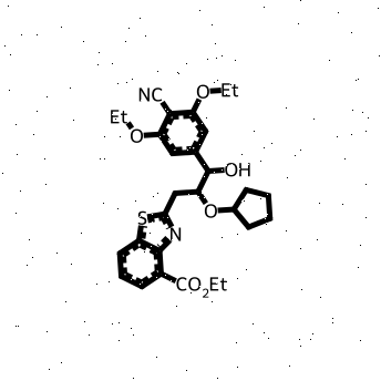 CCOC(=O)c1cccc2sc(CC(OC3CCCC3)C(O)c3cc(OCC)c(C#N)c(OCC)c3)nc12